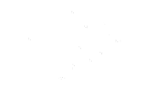 COc1cc2c(cc1Nc1nnc(C(N)=O)c(Nc3ncccc3C)n1)CCN(C)C2